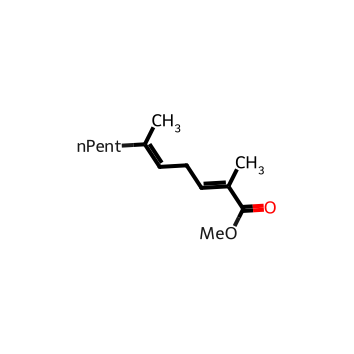 CCCCC/C(C)=C/C/C=C(\C)C(=O)OC